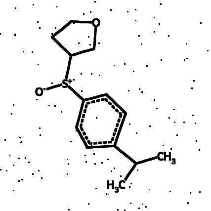 CC(C)c1ccc([S+]([O-])C2CCOC2)cc1